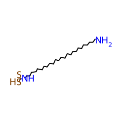 NCCCCCCCCCCCCCCCCCCCCCCCCCNC(=S)S